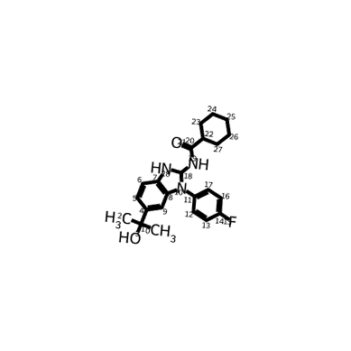 CC(C)(O)c1ccc2c(c1)N(c1ccc(F)cc1)C(NC(=O)C1CCCCC1)N2